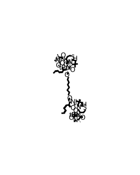 C=C(/C=C\C=C/C)[C@@H](COCCCCCCCCOC[C@@H](NC(=O)[C@H]1N2C(=O)[C@@H](NC(=O)[C@H](C)N(C)C(=O)OC(C)(C)C)CCS[C@H]2CC1(C)C)C(=C)/C=C\C=C/C)NC(=O)[C@H]1N2C(=O)[C@@H](NC(=O)[C@H](C)N(C)C(=O)OC(C)(C)C)CCS[C@H]2CC1(C)C